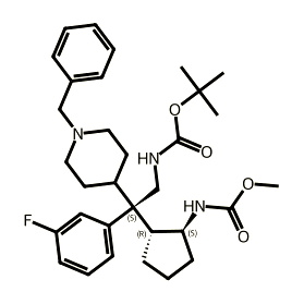 COC(=O)N[C@H]1CCC[C@@H]1[C@](CNC(=O)OC(C)(C)C)(c1cccc(F)c1)C1CCN(Cc2ccccc2)CC1